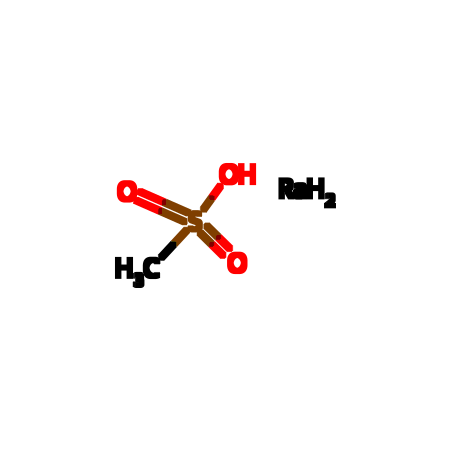 CS(=O)(=O)O.[RaH2]